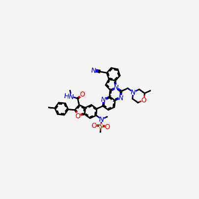 CNC(=O)c1c(-c2ccc(C)cc2)oc2cc(N(C)S(C)(=O)=O)c(-c3ccc4nc(CN5CCOC(C)C5)n5c6cccc(C#N)c6cc5c4n3)cc12